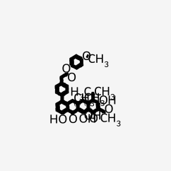 COc1ccc(OC(=O)Cc2ccc(-c3ccc(O)c4c3C[C@]3(C)C[C@]5(C)C(C(C)C)C(O)=C(C(C)=O)C(=O)[C@]5(O)C(O)=C3C4=O)cc2)cc1